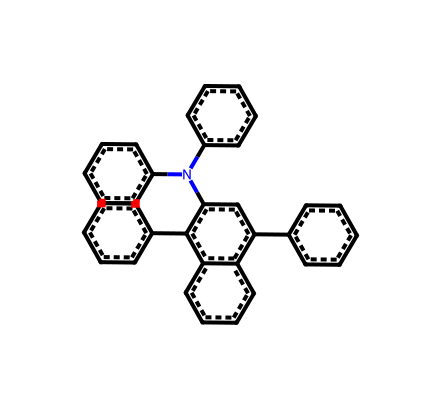 c1ccc(-c2cc(N(c3ccccc3)c3ccccc3)c(-c3ccccc3)c3ccccc23)cc1